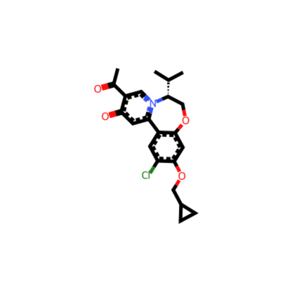 CC(=O)c1cn2c(cc1=O)-c1cc(Cl)c(OCC3CC3)cc1OC[C@H]2C(C)C